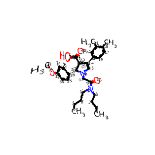 CCCCN(CCCC)C(=O)CN1C[C@H](c2ccc(C)c(C)c2)[C@H](C(=O)O)[C@H]1c1ccc(OC)cc1